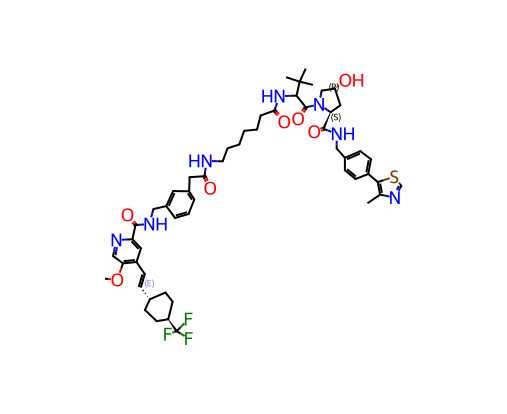 COc1cnc(C(=O)NCc2cccc(CC(=O)NCCCCCCC(=O)NC(C(=O)N3C[C@H](O)C[C@H]3C(=O)NCc3ccc(-c4scnc4C)cc3)C(C)(C)C)c2)cc1/C=C/[C@H]1CC[C@H](C(F)(F)F)CC1